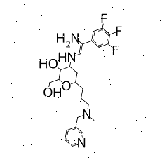 CN(CCCC1CC(N/C=C(\N)c2cc(F)c(F)c(F)c2)C(O)C(CO)O1)Cc1cccnc1